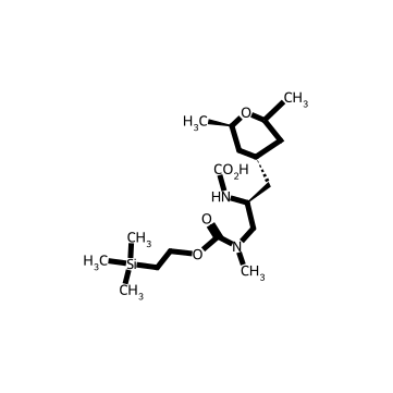 CC1C[C@H](C[C@@H](CN(C)C(=O)OCC[Si](C)(C)C)NC(=O)O)C[C@@H](C)O1